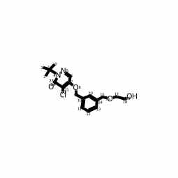 CC(C)(C)n1ncc(OCc2cccc(COCCO)c2)c(Cl)c1=O